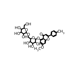 COc1cc(OC2OC(COC3OC(CO)C(O)C(O)C3O)C(O)C(O)C2O)c2c(=O)cc(-c3ccc(C)cc3)oc2c1